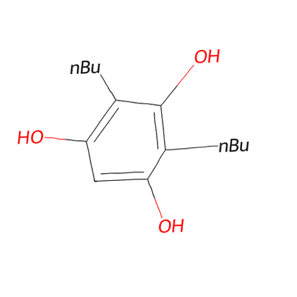 CCCCc1c(O)cc(O)c(CCCC)c1O